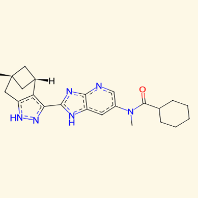 CN(C(=O)C1CCCCC1)c1cnc2nc(-c3n[nH]c4c3[C@H]3C[C@@](C)(C4)C3)[nH]c2c1